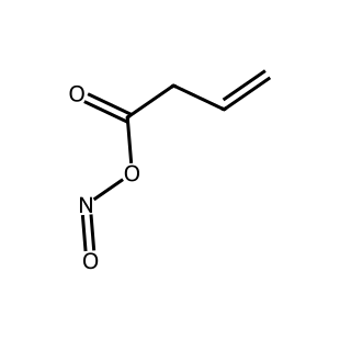 C=CCC(=O)ON=O